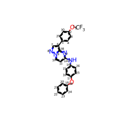 FC(F)(F)Oc1ccc(-c2cnn3ccc(Nc4ccc(Oc5ccccc5)cc4)nc23)cc1